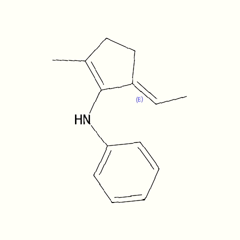 C/C=C1\CCC(C)=C1Nc1ccccc1